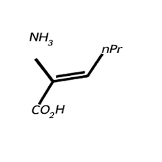 CCCC=C(C)C(=O)O.N